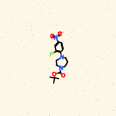 CC(C)(C)OC(=O)N1CCCN(c2ccc([N+](=O)[O-])cc2F)CC1